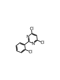 Clc1cc(Cl)nc(-c2ccccc2Cl)n1